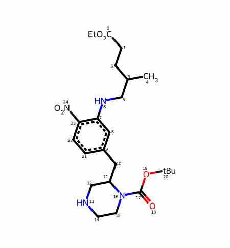 CCOC(=O)CCC(C)CNc1cc(CC2CNCCN2C(=O)OC(C)(C)C)ccc1[N+](=O)[O-]